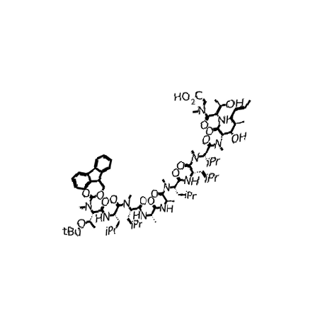 C/C=C/C[C@@H](C)[C@@H](O)[C@@H](C(=O)N[C@H](C(=O)N(C)CC(=O)O)[C@@H](C)O)N(C)C(=O)[C@H](C(C)C)N(C)C(=O)[C@H](CC(C)C)NC(=O)[C@H](CC(C)C)N(C)C(=O)[C@@H](C)NC(=O)[C@H](C)NC(=O)[C@H](CC(C)C)N(C)C(=O)[C@H](CC(C)C)NC(=O)[C@H](C(C)OC(C)(C)C)N(C)C(=O)OCC1c2ccccc2-c2ccccc21